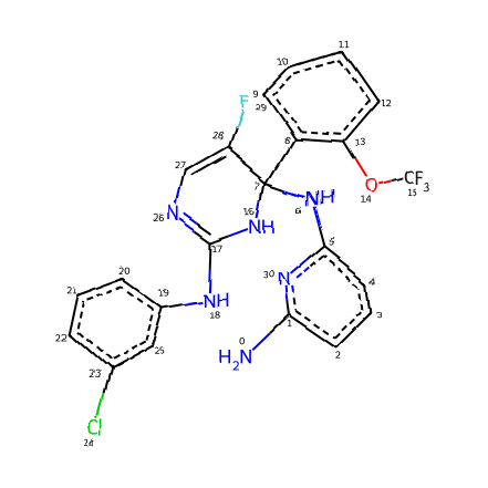 Nc1cccc(NC2(c3ccccc3OC(F)(F)F)NC(Nc3cccc(Cl)c3)=NC=C2F)n1